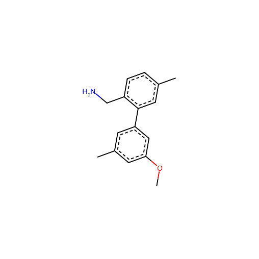 COc1cc(C)cc(-c2cc(C)ccc2CN)c1